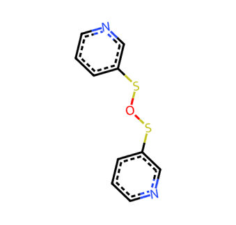 c1cncc(SOSc2cccnc2)c1